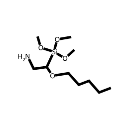 CCCCCOC(CN)[Si](OC)(OC)OC